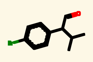 CC(C)C(C=O)c1ccc(Br)cc1